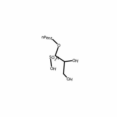 CCCCCOCC(O)CO.O=S(=O)(O)O